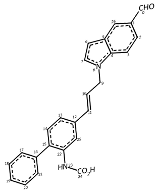 O=Cc1ccc2c(ccn2CC=Cc2ccc(-c3ccccc3)c(NC(=O)O)c2)c1